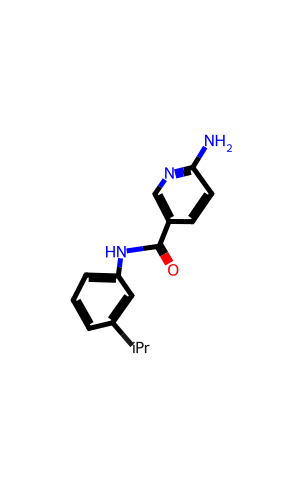 CC(C)c1cccc(NC(=O)c2ccc(N)nc2)c1